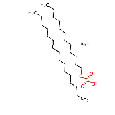 CCCCCCCCCCCCCCCC.CCCCCCCCCCCCOS(=O)(=O)[O-].[Na+]